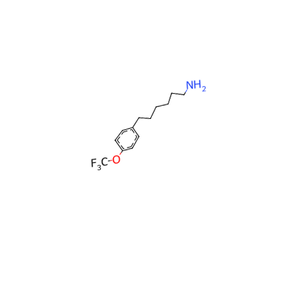 NCCCCCCc1ccc(OC(F)(F)F)cc1